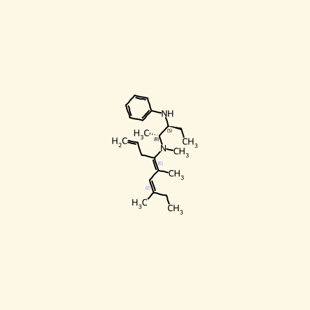 C=CC/C(=C(C)\C=C(\C)CC)N(C)[C@H](C)[C@H](CC)Nc1ccccc1